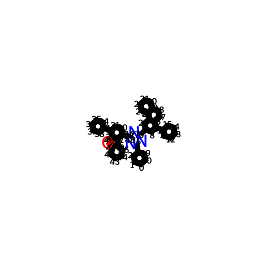 c1ccc(-c2nc(-c3cc(-c4ccccc4)c4ccc5ccccc5c4c3)nc(-c3ccc(-c4ccccc4)c4oc5ccccc5c34)n2)cc1